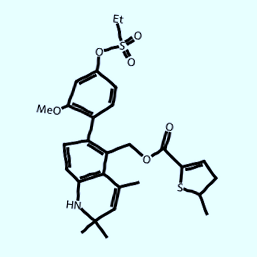 CCS(=O)(=O)Oc1ccc(-c2ccc3c(c2COC(=O)C2=CCC(C)S2)C(C)=CC(C)(C)N3)c(OC)c1